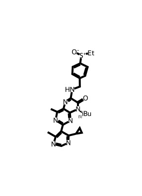 CC[C@H](C)n1c(=O)c(NCc2ccc([S+]([O-])CC)cc2)nc2c(C)nc(-c3c(C)ncnc3C3CC3)nc21